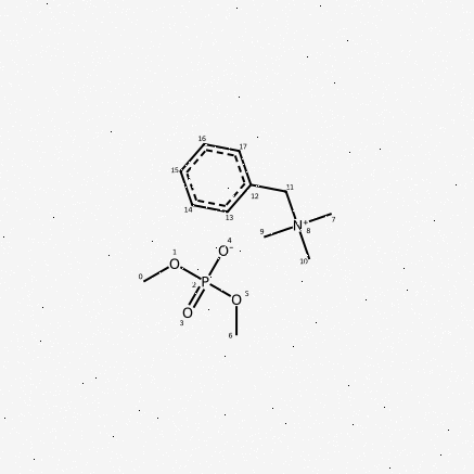 COP(=O)([O-])OC.C[N+](C)(C)Cc1ccccc1